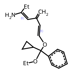 C=C(/C=C/OC(OCC)(c1ccccc1)C1CC1)/C=C(/N)CC